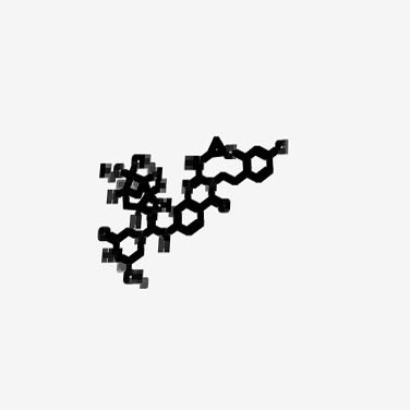 C[C@@H]1[C@@H](N=C(Nc2ccc3c(=O)n(CCc4ccc(Cl)cc4Cl)c(NC4CC4)nc3c2)N2CC(=O)N[C@@H](C)C2)C[C@H]2C[C@@H]1C2(C)C